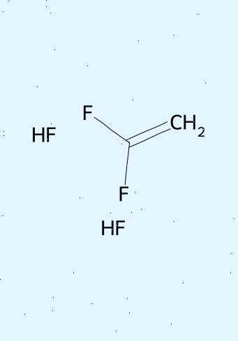 C=C(F)F.F.F